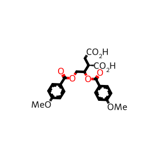 COc1ccc(C(=O)OCC(OC(=O)c2ccc(OC)cc2)[C@@H](CC(=O)O)C(=O)O)cc1